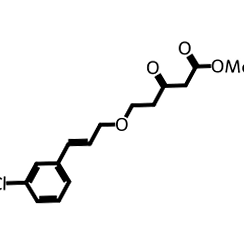 COC(=O)CC(=O)CCOC/C=C/c1cccc(Cl)c1